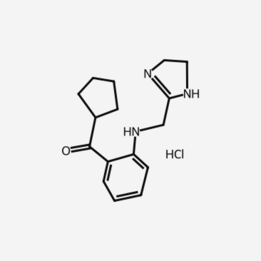 Cl.O=C(c1ccccc1NCC1=NCCN1)C1CCCC1